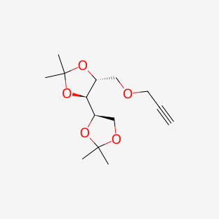 C#CCOC[C@H]1OC(C)(C)O[C@@H]1[C@H]1COC(C)(C)O1